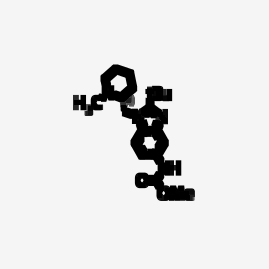 COC(=O)Nc1ccc2c(c1)nc(C(C)(C)C)n2C[C@H]1CCCCN1C